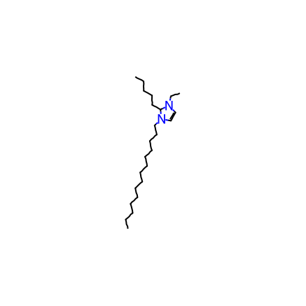 CCCCCCCCCCCCCCN1C=CN(CC)C1CCCCC